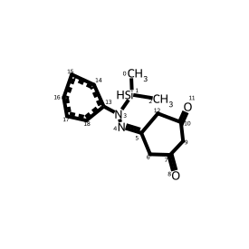 C[SiH](C)N(N=C1CC(=O)CC(=O)C1)c1ccccc1